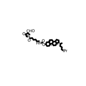 CC(C)CCCC(C)[C@H]1CCC2C3CC=C4C[C@@H](OC(=O)NCCCCCC(=O)N5CC(=O)C(C=O)C5)CC[C@]4(C)C3CC[C@@]21C